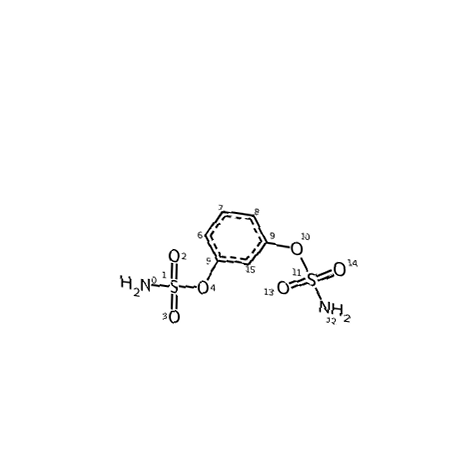 NS(=O)(=O)Oc1cccc(OS(N)(=O)=O)c1